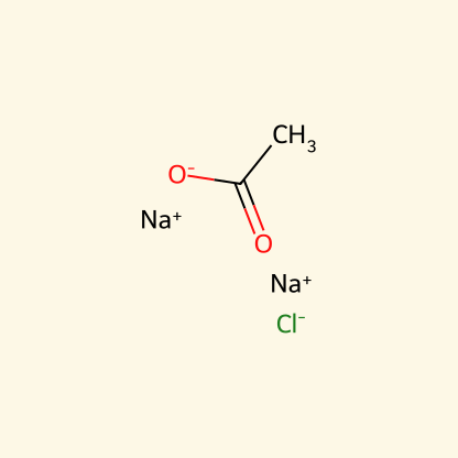 CC(=O)[O-].[Cl-].[Na+].[Na+]